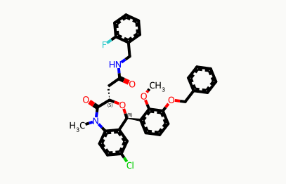 COc1c(OCc2ccccc2)cccc1[C@@H]1O[C@@H](CC(=O)NCc2ccccc2F)C(=O)N(C)c2ccc(Cl)cc21